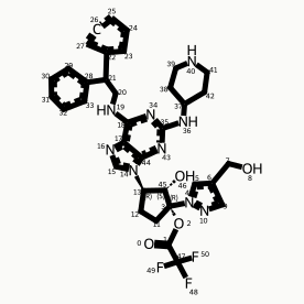 O=C(O[C@]1(n2cc(CO)cn2)CC[C@@H](n2cnc3c(NCC(c4ccccc4)c4ccccc4)nc(NC4CCNCC4)nc32)[C@@H]1O)C(F)(F)F